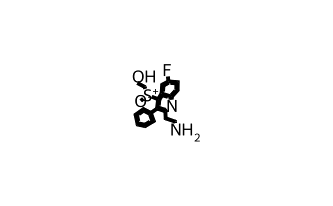 NCCc1nc2ccc(F)cc2c([S+]([O-])CCO)c1-c1ccccc1